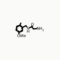 COc1ccc(C)c(CNC(=O)CN)c1